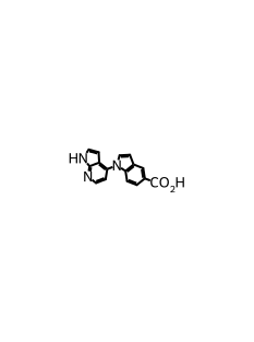 O=C(O)c1ccc2c(ccn2-c2ccnc3[nH]ccc23)c1